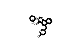 O=c1c2cc(CC3C=NC(Cl)=CC3)c3ccccc3c2ncn1[C@H]1CCCC[C@@H]1O